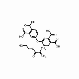 C=C(C)C(=O)OCCO.O=C(O)c1ccc(Oc2ccc(C(=O)O)c(C(=O)O)c2)cc1C(=O)O